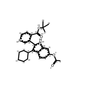 CC(=O)Oc1ccc2c(C3CCCCC3)c(-c3cnccc3C(=O)OC(C)(C)C)[nH]c2c1